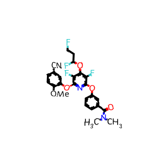 COc1ccc(C#N)cc1Oc1nc(Oc2cccc(C(=O)N(C)C)c2)c(F)c(OC(F)CCF)c1F